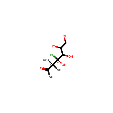 CC(=O)O[C@@](C(C)=O)(C(=O)C(C)=O)[C@](O)(Br)C(O)C(O)CO